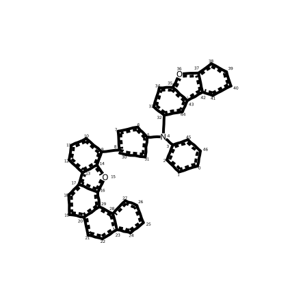 c1ccc(N(c2ccc(-c3cccc4c3oc3c4ccc4ccc5ccccc5c43)cc2)c2ccc3oc4ccccc4c3c2)cc1